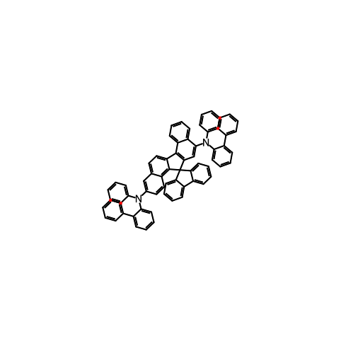 c1ccc(-c2ccccc2N(c2ccccc2)c2ccc3c4c(ccc3c2)-c2c(cc(N(c3ccccc3)c3ccccc3-c3ccccc3)c3ccccc23)C42c3ccccc3-c3ccccc32)cc1